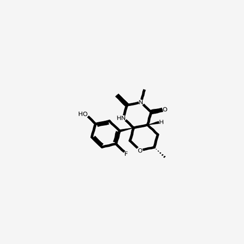 C=C1N[C@@]2(c3cc(O)ccc3F)CO[C@@H](C)C[C@H]2C(=O)N1C